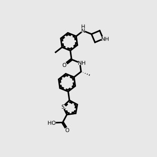 Cc1ccc(NC2CNC2)cc1C(=O)N[C@H](C)c1cccc(-c2ccc(C(=O)O)s2)c1